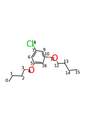 CCCCOc1cc(Cl)cc(OCCCC)c1